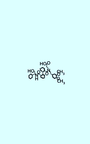 COc1ccc(CCN(CCC(=O)O)C(=O)c2ccccc2-c2ccccc2C(=O)N[C@H](CO)c2ccccc2)cc1OC